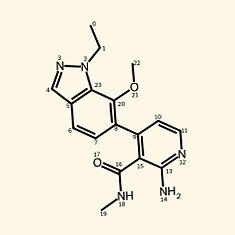 CCn1ncc2ccc(-c3ccnc(N)c3C(=O)NC)c(OC)c21